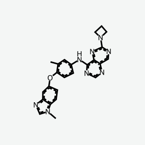 Cc1cc(Nc2ncnc3cnc(N4CCC4)nc23)ccc1Oc1ccc2c(c1)ncn2C